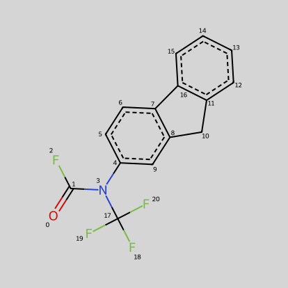 O=C(F)N(c1ccc2c(c1)Cc1ccccc1-2)C(F)(F)F